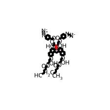 C#CCCCC(=O)OCC(O)COc1ccc2ccc(OCC(O)COC(=O)c3ccc(N=[N+]=[N-])cc3)c(Cc3c(OCC(O)COC(=O)c4ccc(N=[N+]=[N-])cc4)ccc4ccc(OCC(O)COC(=O)CCCC(=C)C)cc34)c2c1